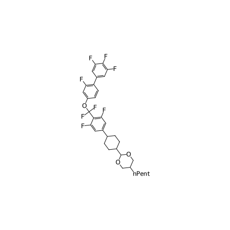 CCCCCC1COC(C2CCC(c3cc(F)c(C(F)(F)Oc4ccc(-c5cc(F)c(F)c(F)c5)c(F)c4)c(F)c3)CC2)OC1